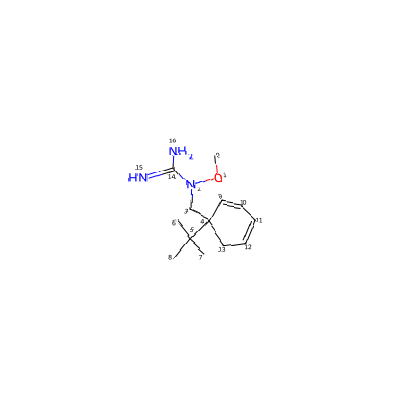 CON(CC1(C(C)(C)C)C=CC=CC1)C(=N)N